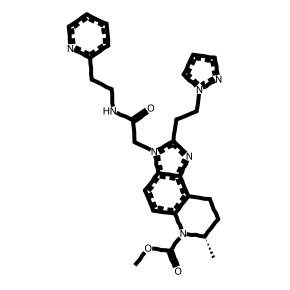 COC(=O)N1c2ccc3c(nc(CCn4cccn4)n3CC(=O)NCCc3ccccn3)c2CC[C@@H]1C